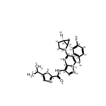 CC(C)c1cnc(C(=O)Nc2cnn3ccc(N4CC[C@H]5C[C@]54c4cc(F)ccc4F)nc23)s1